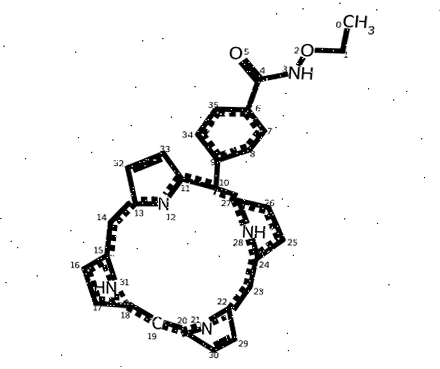 CCONC(=O)c1ccc(-c2c3nc(cc4ccc(cc5nc(cc6ccc2[nH]6)C=C5)[nH]4)C=C3)cc1